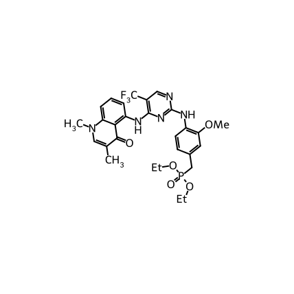 CCOP(=O)(Cc1ccc(Nc2ncc(C(F)(F)F)c(Nc3cccc4c3c(=O)c(C)cn4C)n2)c(OC)c1)OCC